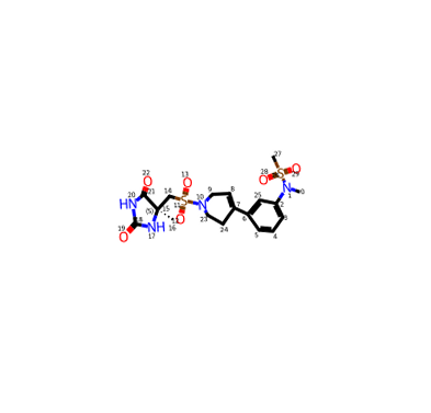 CN(c1cccc(C2=CCN(S(=O)(=O)C[C@@]3(C)NC(=O)NC3=O)CC2)c1)S(C)(=O)=O